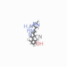 Cc1ncc(-c2cc3c(C#N)c(-c4c(C)ccc(O)c4C)cnc3[nH]2)c(N)n1